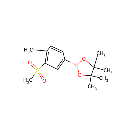 Cc1ccc(B2OC(C)(C)C(C)(C)O2)cc1S(C)(=O)=O